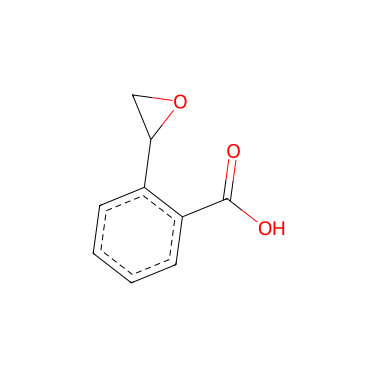 O=C(O)c1ccccc1C1CO1